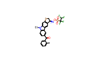 CCn1c2ccc(C(=O)c3ccccc3C)cc2c2cc3c(cc21)SC/C3=N\OS(=O)(=O)C(F)(F)C(F)F